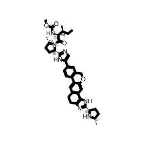 CC[C@H](C)[C@H](NC(=O)OC)C(=O)N1[C@@H](C)CC[C@H]1c1ncc(-c2ccc3c(c2)COc2cc4c(cc2-3)CCc2nc([C@@H]3CC[C@H](C)N3)[nH]c2-4)[nH]1